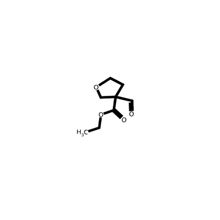 CCOC(=O)C1(C=O)CCOC1